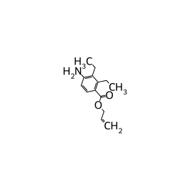 C=CCOC(=O)c1ccc(N)c(CC)c1CC